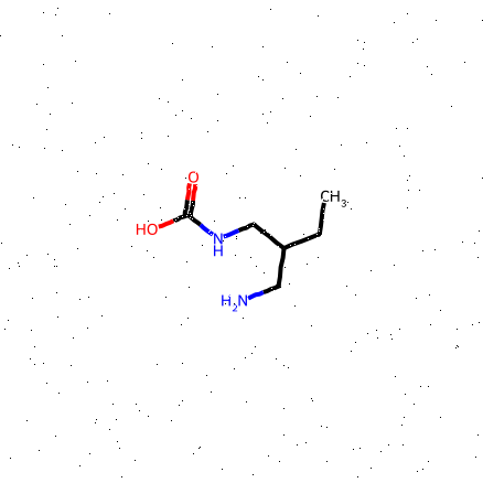 CCC(CN)CNC(=O)O